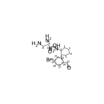 NC1CCCCC1.NC[C@H](N)C(=O)O.O=Cc1ccc(Br)cc1